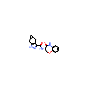 O=C(N[C@H]1COc2ccccc2NC1=O)c1n[nH]c2c1CC1CC1C2